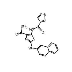 NC(=O)c1nc(Nc2ccc3ccccc3c2)sc1NC(=O)c1ccsc1